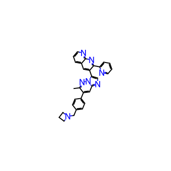 Cc1nn2c(-c3cc4cccnc4nc3-c3ccccn3)cnc2cc1-c1ccc(CN2CCC2)cc1